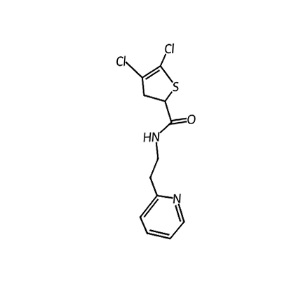 O=C(NCCc1ccccn1)C1CC(Cl)=C(Cl)S1